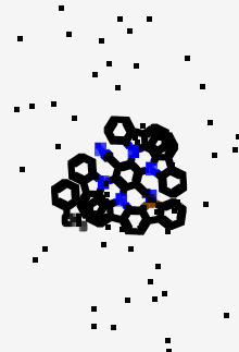 Cc1ccccc1-c1ccc2c3ccc4c5ccccc5sc4c3n(-c3c(C#N)c(-n4c5ccccc5c5ccccc54)c(-n4c5ccccc5c5ccccc54)c(C#N)c3-n3c4ccccc4c4ccccc43)c2c1